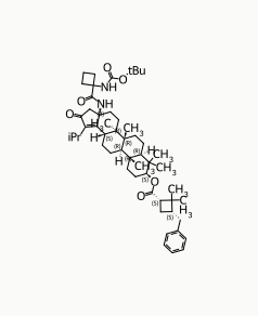 CC(C)C1=C2[C@H]3CC[C@@H]4[C@@]5(C)CC[C@H](OC(=O)[C@H]6C[C@@H](Cc7ccccc7)C6(C)C)C(C)(C)[C@@H]5CC[C@@]4(C)[C@]3(C)CC[C@@]2(NC(=O)C2(NC(=O)OC(C)(C)C)CCC2)CC1=O